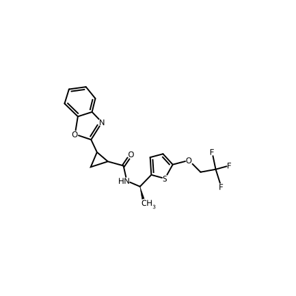 C[C@@H](NC(=O)C1CC1c1nc2ccccc2o1)c1ccc(OCC(F)(F)F)s1